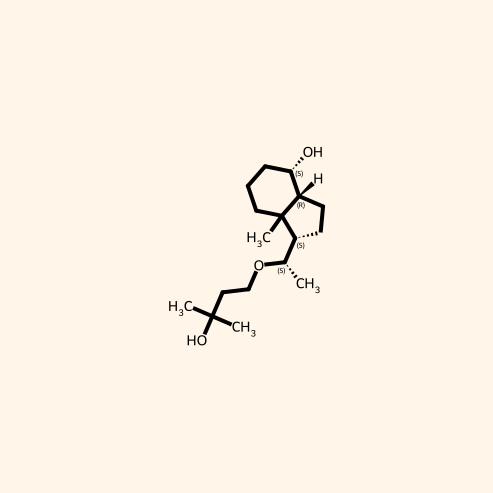 C[C@H](OCCC(C)(C)O)[C@H]1CC[C@H]2[C@@H](O)CCCC12C